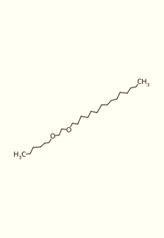 CCCCCCCCCCCCCCCOCCOCCCCCC